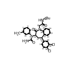 Cc1cccc(N(C(N)=O)C2CC(c3ccc(Cl)c(Cl)c3)c3ccccc3N(CC(=O)NC(C)(C)C)C2=O)c1